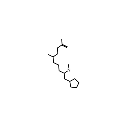 C=C(C)CCC(C)CCCC(CC1CCCC1)NC